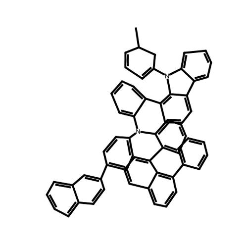 CC1C=CC=C(n2c3ccccc3c3cccc(-c4ccccc4N(c4ccc(-c5ccc6ccccc6c5)cc4)c4ccccc4-c4cccc5cccc(-c6ccccc6)c45)c32)C1